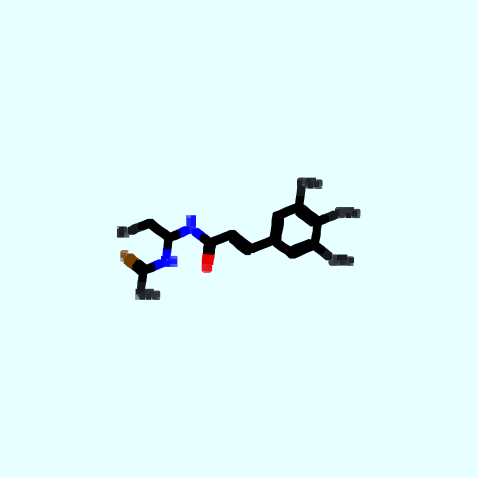 CNC(=S)NC(CC(C)C)NC(=O)C=Cc1cc(OC)c(OC)c(OC)c1